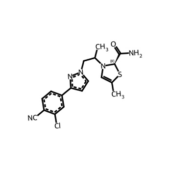 CC1=CN(C(C)Cn2ccc(-c3ccc(C#N)c(Cl)c3)n2)[C@@H](C(N)=O)S1